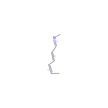 C\C=C/C=C/C=N/C